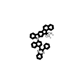 CC1(C)c2cc3c(cc2-c2ccc4ccccc4c21)c1ccccc1n3-c1ccc(-c2nc3ccccc3nc2-c2ccccc2)c2ccccc12